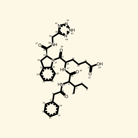 CCC(C)C(NC(=O)Cc1ccccc1)C(=O)NC(CCCC(=O)O)C(=O)N1c2ccccc2C[C@H]1C(=O)NCc1nn[nH]n1